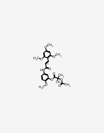 COc1cc(OC)c(/C=C/C(=O)Nc2ccc(OC)c(OC(=O)C(C)(C)OC(C)=O)c2)c(OC)c1